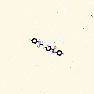 O=C(CSc1ccc(C(=O)Nc2ccc(F)cc2)cn1)Nc1ccc(F)cc1